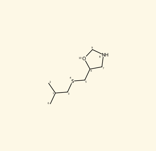 CC(C)CSCC1CNCO1